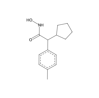 Cc1ccc(C(C(=O)NO)C2CCCC2)cc1